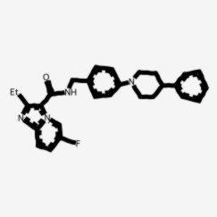 CCc1nc2ccc(F)cn2c1C(=O)NCc1ccc(N2CCC(c3ccccc3)CC2)cc1